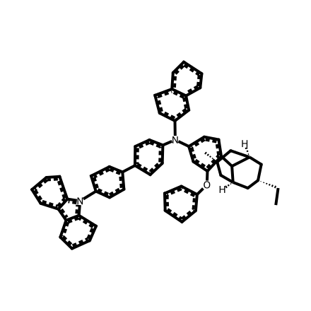 CC[C@@H]1C[C@H]2C[C@H](C)C[C@@H](C1)C2c1ccc(N(c2ccc(-c3ccc(-n4c5ccccc5c5ccccc54)cc3)cc2)c2ccc3ccccc3c2)cc1Oc1ccccc1